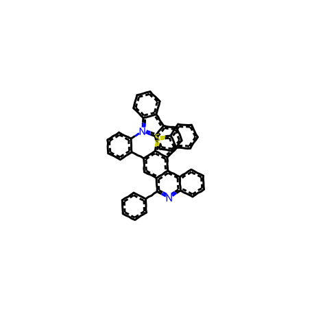 c1ccc(-c2nc3ccccc3c3c2cc(-c2ccccc2-n2c4ccccc4c4ccccc42)c2sc4ccccc4c23)cc1